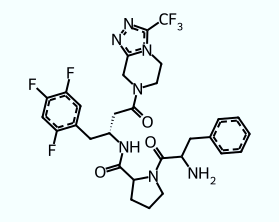 NC(Cc1ccccc1)C(=O)N1CCCC1C(=O)N[C@@H](CC(=O)N1CCn2c(nnc2C(F)(F)F)C1)Cc1cc(F)c(F)cc1F